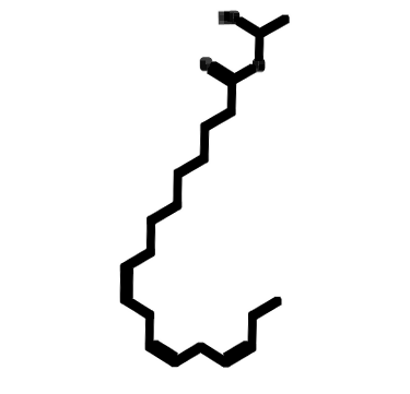 CC/C=C\C/C=C\C/C=C\CCCCCCCC(=O)OC(C)O